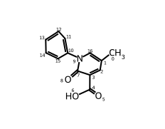 Cc1cc(C(=O)O)c(=O)n(-c2ccccc2)c1